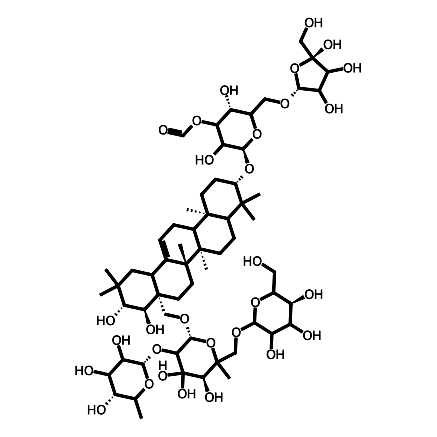 CC1O[C@@H](OC2[C@H](OC[C@@]34CC[C@]5(C)C(=CCC6[C@@]7(C)CC[C@H](O[C@@H]8OC(CO[C@@H]9O[C@](O)(CO)C(O)C9O)[C@@H](O)C(OC=O)C8O)C(C)(C)C7CC[C@]65C)C3CC(C)(C)[C@@H](O)[C@@H]4O)OC(C)(COC3OC(CO)[C@@H](O)C(O)C3O)[C@@H](O)C2(O)O)C(O)C(O)[C@H]1O